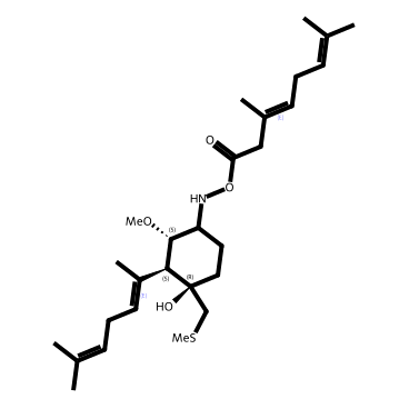 CO[C@@H]1C(NOC(=O)C/C(C)=C/CC=C(C)C)CC[C@](O)(CSC)[C@H]1/C(C)=C/CC=C(C)C